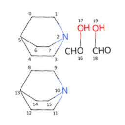 C1CN2CCC1CC2.C1CN2CCC1CC2.O=CO.O=CO